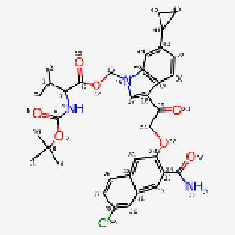 CC(C)C(NC(=O)OC(C)(C)C)C(=O)OCn1cc(C(=O)COc2cc3ccc(Cl)cc3cc2C(N)=O)c2ccc(C3CC3)cc21